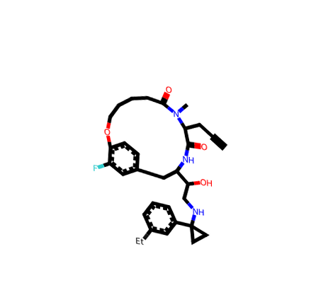 C#CCC1C(=O)NC(C(O)CNC2(c3cccc(CC)c3)CC2)Cc2ccc(c(F)c2)OCCCCC(=O)N1C